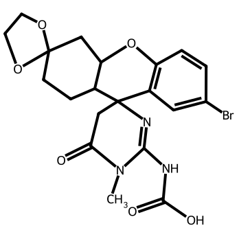 CN1C(=O)CC2(N=C1NC(=O)O)c1cc(Br)ccc1OC1CC3(CCC12)OCCO3